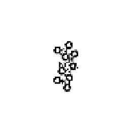 N#Cc1c(-n2c3ccccc3c3c2ccc2c4ccccc4n(-c4ccccc4)c23)cncc1-n1c2ccccc2c2c1ccc1c3ccccc3n(-c3ccccc3)c12